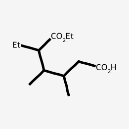 CCOC(=O)C(CC)C(C)C(C)CC(=O)O